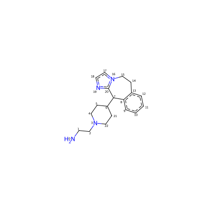 NCCN1CCC(C2c3ccccc3CCn3ccnc32)CC1